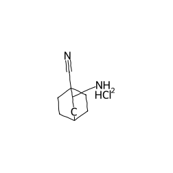 Cl.N#CC12CCC(CC1)CC2N